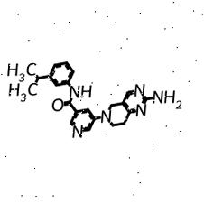 CC(C)c1cccc(NC(=O)c2cncc(N3CCc4nc(N)ncc4C3)c2)c1